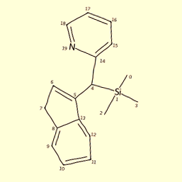 C[Si](C)(C)C(C1=CCc2ccccc21)c1ccccn1